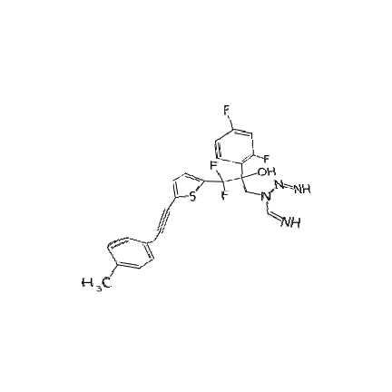 Cc1ccc(C#Cc2ccc(C(F)(F)C(O)(CN(C=N)N=N)c3ccc(F)cc3F)s2)cc1